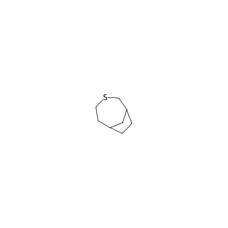 C1CC2CCC(CS1)C2